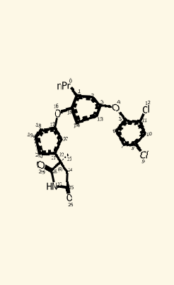 CCCc1cc(Oc2ccc(Cl)cc2Cl)ccc1Oc1cccc([C@@]2(C)CC(=O)NC2=O)c1